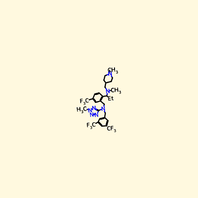 CCC(c1ccc(C(F)(F)F)cc1CN(Cc1cc(C(F)(F)F)cc(C(F)(F)F)c1)c1nnn(C)n1)N(C)CC1CCN(C)CC1